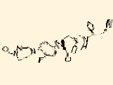 N#CCC(=O)NC[C@H]1CN(c2ccc(N3C=NN(C=O)CC3)c(F)c2)C(=O)O1